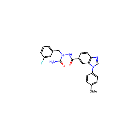 COc1ccc(-n2cnc3ccc(C(=O)NN(Cc4cccc(F)c4)C(N)=O)cc32)cc1